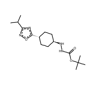 CC(C)c1noc([C@H]2CC[C@H](NNC(=O)OC(C)(C)C)CC2)n1